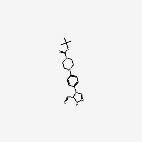 CC(C)(C)OC(=O)N1CCN(c2ccc(N3C=NNC3C=O)cc2)CC1